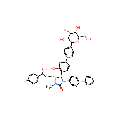 CN1C(=O)N(c2ccc(-c3ccccc3)cc2)[C@H](c2ccc(-c3ccc(C4O[C@H](CO)[C@@H](O)[C@H](O)[C@H]4O)cc3)cc2O)[C@H]1CCC(O)c1ccc(F)cc1